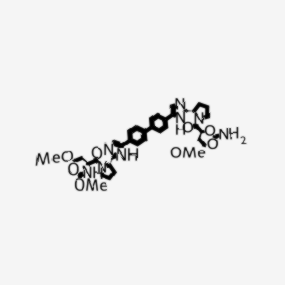 COCC[C@H](NC(=O)OC)C(=O)N1CCC[C@H]1c1ncc(-c2ccc(-c3ccc(-c4cnc([C@@H]5CCCN5C(=O)[C@H](CCOC)OC(N)=O)[nH]4)cc3)cc2)[nH]1